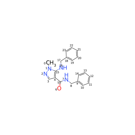 Cn1ncc(C(=O)NCc2ccccc2)c1NCc1ccccc1